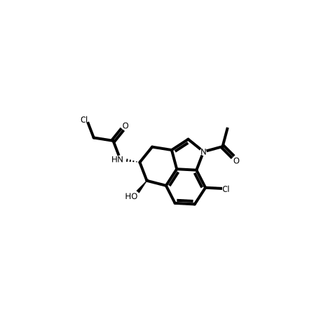 CC(=O)n1cc2c3c(ccc(Cl)c31)[C@@H](O)[C@H](NC(=O)CCl)C2